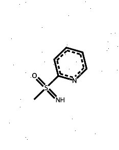 CS(=N)(=O)c1ccccn1